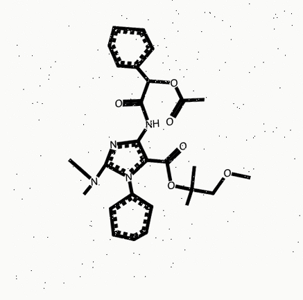 COCC(C)(C)OC(=O)c1c(NC(=O)C(OC(C)=O)c2ccccc2)nc(N(C)C)n1-c1ccccc1